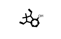 C=CC1c2cccc(O)c2C(C=C)C1(C)C